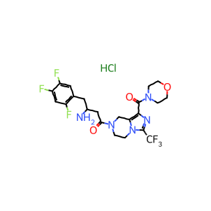 Cl.NC(CC(=O)N1CCn2c(C(F)(F)F)nc(C(=O)N3CCOCC3)c2C1)Cc1cc(F)c(F)cc1F